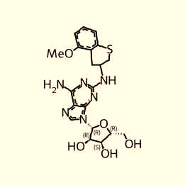 COc1cccc2c1CC(Nc1nc(N)c3ncn([C@@H]4O[C@H](CO)[C@@H](O)[C@H]4O)c3n1)CS2